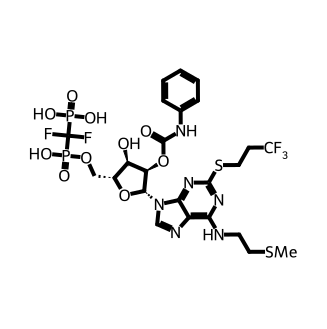 CSCCNc1nc(SCCC(F)(F)F)nc2c1ncn2[C@@H]1O[C@H](COP(=O)(O)C(F)(F)P(=O)(O)O)[C@@H](O)[C@H]1OC(=O)Nc1ccccc1